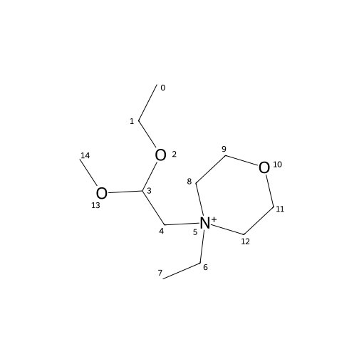 CCOC(C[N+]1(CC)CCOCC1)OC